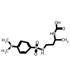 CC(CCNS(=O)(=O)c1ccc(N(C)C)cc1)NC(=O)O